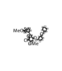 COc1nn2c(-c3cc4c(OCc5cccc(OCc6ccccc6)c5)cc(OC)c(Cl)c4o3)cnc2s1